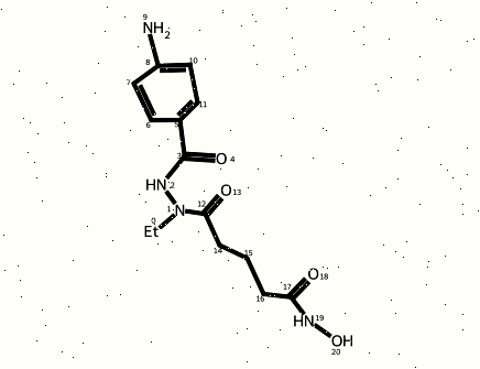 CCN(NC(=O)c1ccc(N)cc1)C(=O)CCCC(=O)NO